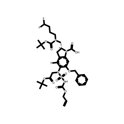 C=CCOC(=O)NS(=O)(=O)N(CC(=O)OC(C)(C)C)c1c(OCc2ccccc2)cc2c(c1F)C[C@H](CN(CCCC(F)F)C(=O)OC(C)(C)C)N2C(=O)O